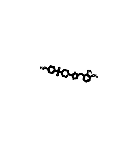 Cc1ccc(S(=O)(=O)N2CCN(c3nc(Cc4cccc(C)c4C)cs3)CC2)cc1